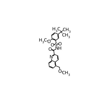 COCc1cccc2nc(C(=O)NS(=O)(=O)c3cc(C(C)(C)C)ccc3OC)ccc12